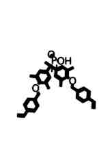 C=Cc1ccc(COc2c(C)cc(C(C)(c3cc(C)c(OCc4ccc(C=C)cc4)c(C)c3)[PH](=O)O)cc2C)cc1